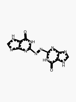 O=c1[nH]c(/N=N/c2nc3nc[nH]c3c(=O)[nH]2)nc2nc[nH]c12